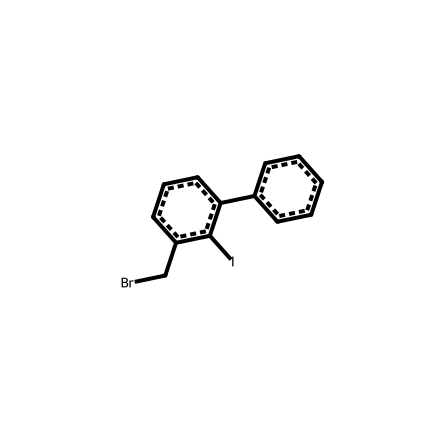 BrCc1cccc(-c2ccccc2)c1I